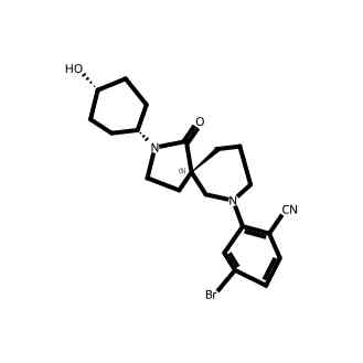 N#Cc1ccc(Br)cc1N1CCC[C@]2(CCN([C@H]3CC[C@@H](O)CC3)C2=O)C1